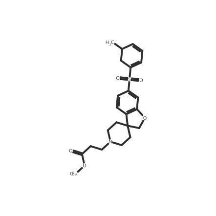 CC1C=CC=C(S(=O)(=O)c2ccc3c(c2)OCC32CCN(CCC(=O)OC(C)(C)C)CC2)C1